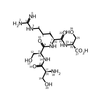 N=C(N)NCCC[C@H](NC(=O)[C@H](CO)NC(=O)[C@@H](N)CO)C(=O)N[C@@H](CO)C(=O)O